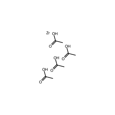 CC(=O)O.CC(=O)O.CC(=O)O.CC(=O)O.[Zr]